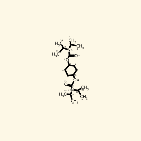 CC(C)N(C(=O)OC1CCC(OC(=O)N(C(C)C)C(C)C)CC1)C(C)C